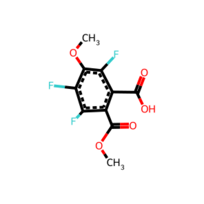 COC(=O)c1c(F)c(F)c(OC)c(F)c1C(=O)O